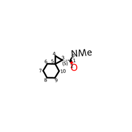 CNC(=O)[C@H]1CC12CCCCC2